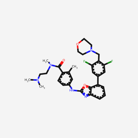 Cc1cc(Nc2nc3cccc(-c4cc(F)c(CN5CCOCC5)c(F)c4)c3o2)ccc1C(=O)N(C)CCN(C)C